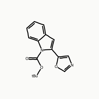 CC(C)(C)OC(=O)n1c(-c2cnco2)cc2ccccc21